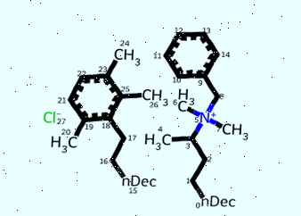 CCCCCCCCCCCCC(C)[N+](C)(C)Cc1ccccc1.CCCCCCCCCCCCc1c(C)ccc(C)c1C.[Cl-]